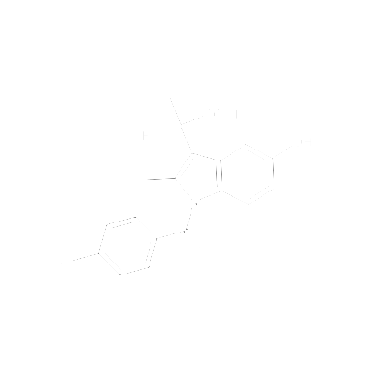 CC[C@](C)(C(=O)O)c1c(C)n(C(=O)c2ccc(Cl)cc2)c2ccc(O)cc12